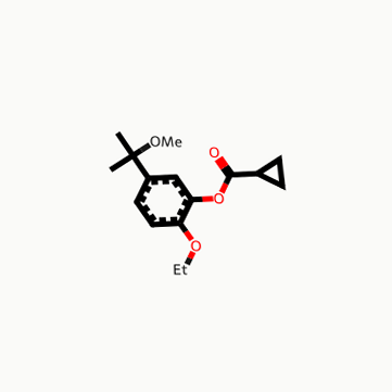 CCOc1ccc(C(C)(C)OC)cc1OC(=O)C1CC1